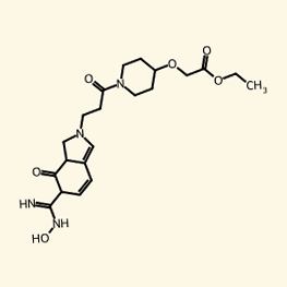 CCOC(=O)COC1CCN(C(=O)CCN2C=C3C=CC(C(=N)NO)C(=O)C3C2)CC1